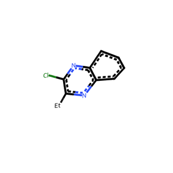 CCc1nc2ccccc2nc1Cl